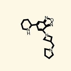 c1c(C2CCCCN2)cc2nonc2c1N1CC(CN2CCCC2)C1